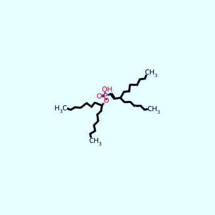 CCCCCCCC(/C=C/P(=O)(O)OC(CCCCCCC)CCCCCCC)CCCCCC